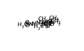 CCc1cc(Nc2ncc(Br)c(Nc3ccc(C)c(C)c3P(C)(C)=O)n2)c(OC)cc1N1CCC(N2CCN(CCS(C)(=O)=O)CC2)CC1